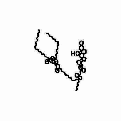 CCCCCCC/C=C\CCCCCCC(=O)OC(COC(=O)CCCCCCC/C=C\CCCCCCCC)COC(=O)CCCCCCC/C=C\CC(CCCCCC)OC(=O)CCC(=O)OCC(=O)C1CCC2C3CCC4=CC(=O)C=CC4(C)C3C(O)CC12C